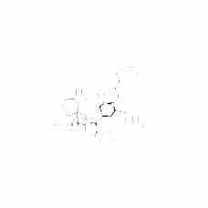 C=C(NCC1(N(C)CC)CCCCC1)c1cc(CC)c(CCCCC)c(OC)c1